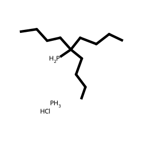 CCCCC(P)(CCCC)CCCC.Cl.P